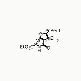 CCCCCc1sc2nc(C(=O)OCC)[nH]c(=O)c2c1C